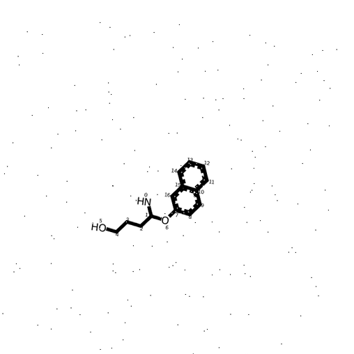 [NH]C(CCCO)Oc1ccc2ccccc2c1